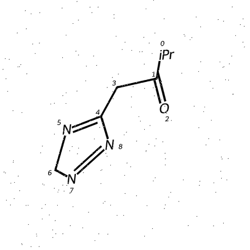 CC(C)C(=O)CC1=NCN=N1